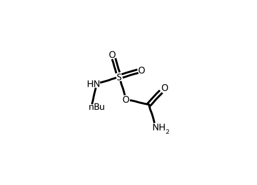 CCCCNS(=O)(=O)OC(N)=O